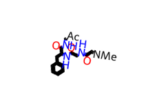 CNCC(=O)NCC(=O)NC(Cc1ccccc1)C(=O)NCC(C)=O